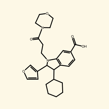 O=C(O)c1ccc2c(c1)N(CCC(=O)N1CCOCC1)C(c1ccoc1)C2C1CCCCC1